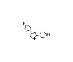 Fc1ccc(-c2ccnc(C3CCNCC3)n2)cc1